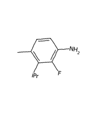 Cc1ccc(N)c(F)c1C(C)C